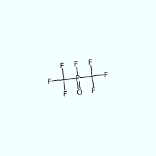 O=P(F)(C(F)(F)F)C(F)(F)F